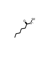 CCCCCC(=O)[N+]S